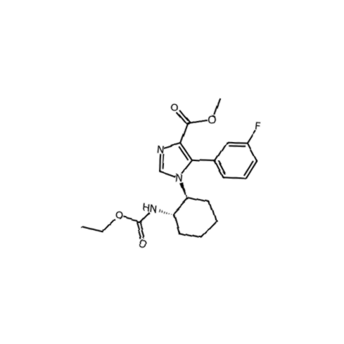 CCOC(=O)N[C@H]1CCCC[C@@H]1n1cnc(C(=O)OC)c1-c1cccc(F)c1